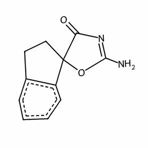 NC1=NC(=O)C2(CCc3ccccc32)O1